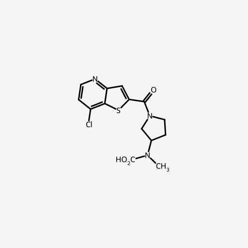 CN(C(=O)O)C1CCN(C(=O)c2cc3nccc(Cl)c3s2)C1